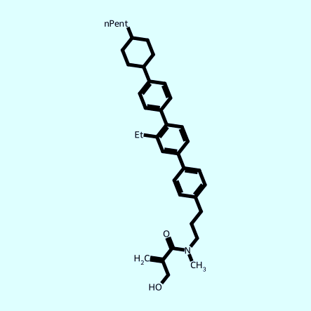 C=C(CO)C(=O)N(C)CCCc1ccc(-c2ccc(-c3ccc(C4CCC(CCCCC)CC4)cc3)c(CC)c2)cc1